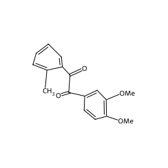 COc1ccc(C(=O)C(=O)c2ccccc2C)cc1OC